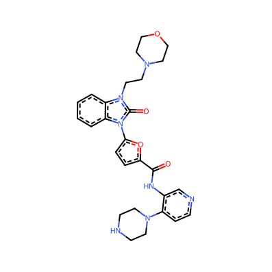 O=C(Nc1cnccc1N1CCNCC1)c1ccc(-n2c(=O)n(CCN3CCOCC3)c3ccccc32)o1